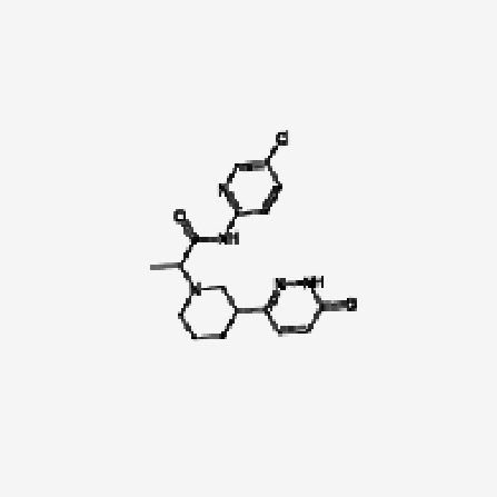 CC(C(=O)Nc1ccc(Cl)cn1)N1CCCC(c2ccc(=O)[nH]n2)C1